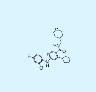 O=C(NCC1CCOCC1)c1cnc(Nc2ccc(F)cc2Cl)cc1C1CCCC1